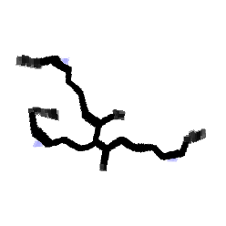 CCCCC/C=C\CCCC(=O)C(CC/C=C\CCCCC)C(O)CCC/C=C\CCCCC